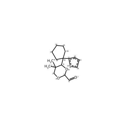 CC1(C)COC(C=O)OC1C1(c2cccs2)CCCCC1